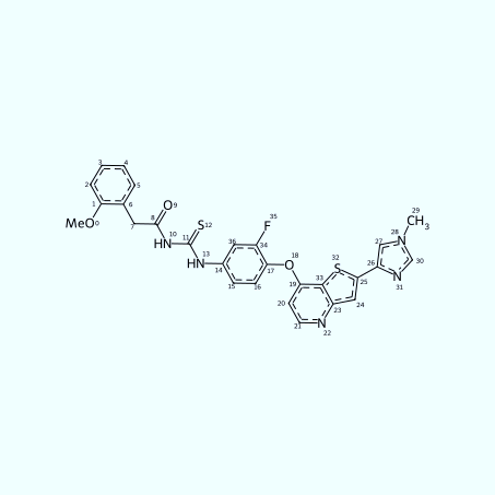 COc1ccccc1CC(=O)NC(=S)Nc1ccc(Oc2ccnc3cc(-c4cn(C)cn4)sc23)c(F)c1